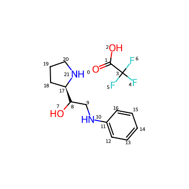 O=C(O)C(F)(F)F.OC(CNc1ccccc1)[C@H]1CCCN1